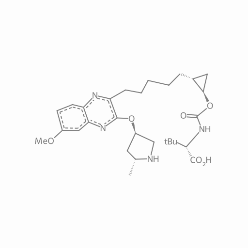 COc1ccc2nc(CCCCC[C@@H]3C[C@H]3OC(=O)N[C@H](C(=O)O)C(C)(C)C)c(O[C@H]3CN[C@H](C)C3)nc2c1